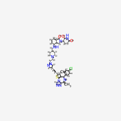 Cc1c(C#Cc2cnn(CCN3CCC(CNC4C=CC=C5C(=O)N(C6CCC(=O)NC6=O)CC54)CC3)c2)sc2c1C(c1ccc(Cl)cc1)=N[C@@H](C)c1nncn1-2